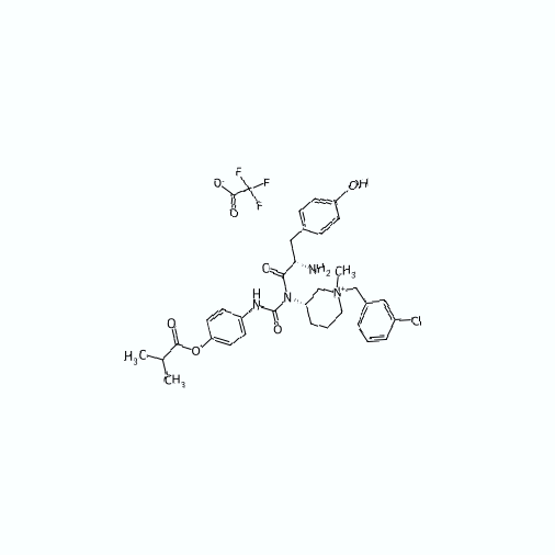 CC(C)C(=O)Oc1ccc(NC(=O)N(C(=O)[C@@H](N)Cc2ccc(O)cc2)[C@H]2CCC[N+](C)(Cc3cccc(Cl)c3)C2)cc1.O=C([O-])C(F)(F)F